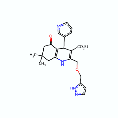 CCOC(=O)C1=C(COCc2ccn[nH]2)NC2=C(C(=O)CC(C)(C)C2)C1c1cccnc1